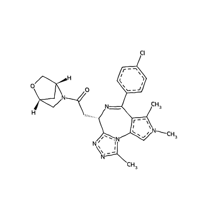 Cc1c2c(cn1C)-n1c(C)nnc1[C@H](CC(=O)N1C[C@H]3C[C@@H]1CO3)N=C2c1ccc(Cl)cc1